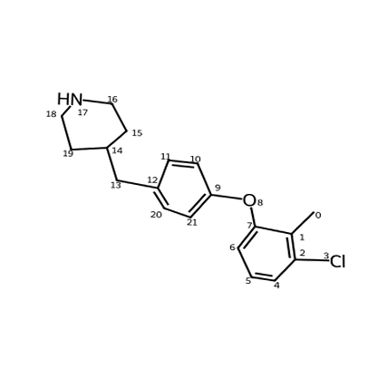 Cc1c(Cl)cccc1Oc1ccc(CC2CCNCC2)cc1